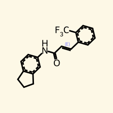 O=C(/C=C/c1ccccc1C(F)(F)F)Nc1ccc2c(c1)CCC2